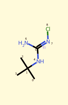 CC(C)(C)N/C(N)=N/Cl